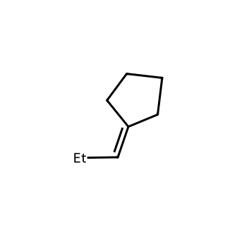 CCC=C1CCCC1